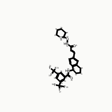 O=C(/C=C/c1ccc2c(c1)CCCC2NC(=O)c1cc(C(F)(F)F)cc(C(F)(F)F)c1)NOC1CCCCO1